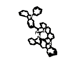 c1ccc(-n2c3ccccc3c3ccc(-c4nc(-n5c6ccccc6c6cc7c8ccccc8n8c9ccc%10ccccc%10c9c(c65)c78)nc5ccccc45)cc32)cc1